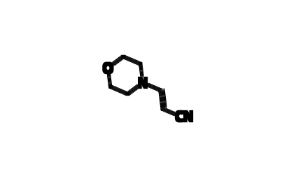 N#C/C=C/N1CCOCC1